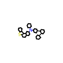 c1ccc(-c2ccccc2-c2ccc(N(c3ccccc3)c3ccc4ccc5sc6ccccc6c5c4c3)cc2)cc1